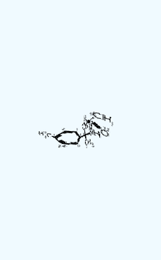 Cc1ccc(C(C)(C)NS(C)(=O)=O)cc1